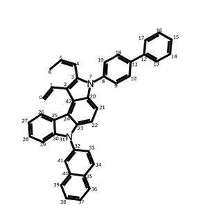 C=Cc1c(/C=C\C)n(-c2ccc(-c3ccccc3)cc2)c2ccc3c(c4ccccc4n3-c3ccc4ccccc4c3)c12